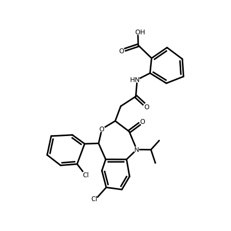 CC(C)N1C(=O)C(CC(=O)Nc2ccccc2C(=O)O)OC(c2ccccc2Cl)c2cc(Cl)ccc21